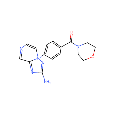 NC1=N[N+]2(c3ccc(C(=O)N4CCOCC4)cc3)C=CN=CC2=N1